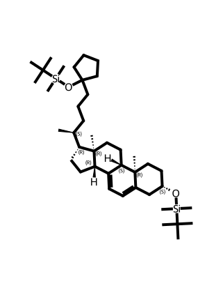 C[C@@H](CCCC1(O[Si](C)(C)C(C)(C)C)CCCC1)[C@H]1CC[C@H]2C3=CC=C4C[C@@H](O[Si](C)(C)C(C)(C)C)CC[C@]4(C)[C@H]3CC[C@]12C